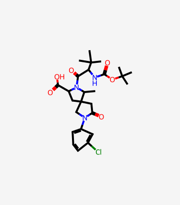 CC1N(C(=O)C(NC(=O)OC(C)(C)C)C(C)(C)C)C(C(=O)O)CC12CC(=O)N(c1cccc(Cl)c1)C2